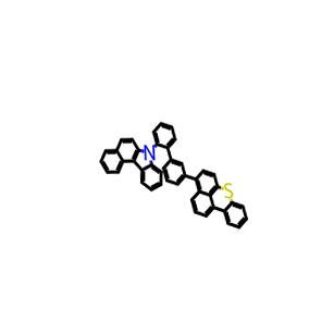 c1cc(-c2ccccc2-n2c3ccccc3c3c4ccccc4ccc32)cc(-c2ccc3c4c(cccc24)-c2ccccc2S3)c1